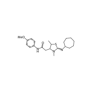 COc1ccc(NC(=O)CC2C(C)SC(=NC3CCCCCC3)N2C)cc1